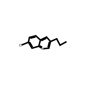 CCCc1cnc2cc(Cl)ccc2c1